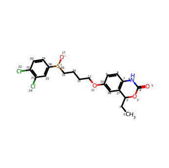 CCC1OC(=O)Nc2ccc(OCCCC[S+]([O-])c3ccc(Cl)c(Cl)c3)cc21